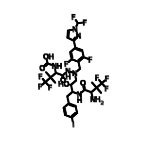 CC(C)(C(N)C(=O)NC(Cc1ccc(I)cc1)C(O)CN(Cc1c(F)cc(-c2ccn(C(F)F)n2)cc1F)NC(=O)C(NC(=O)O)C(C)(C)C(F)(F)F)C(F)(F)F